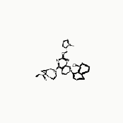 C=CC(=O)C12CCCN(c3nc(OC[C@@H]4CCCN4C)nc4c3CCN(c3cccc5cccc(Cl)c35)C4)CC1C2